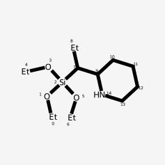 CCO[Si](OCC)(OCC)C(CC)C1CCCCN1